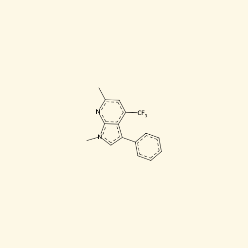 Cc1cc(C(F)(F)F)c2c(-c3ccccc3)cn(C)c2n1